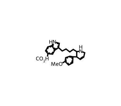 COc1ccc(C2C=CCNC2CCCCc2c[nH]c3ccc(C(=O)O)cc23)cc1